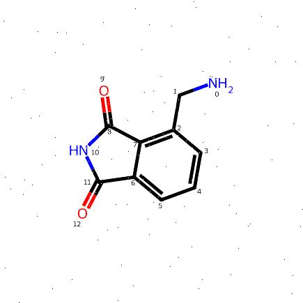 NCc1cccc2c1C(=O)NC2=O